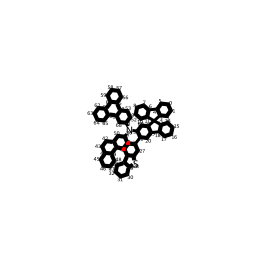 c1ccc2c(c1)-c1ccccc1C21c2ccccc2-c2cc(-c3ccc4c(c3)sc3ccccc34)c(N(c3ccc4c(ccc5ccccc54)c3)c3ccc4c5ccccc5c5ccccc5c4c3)cc21